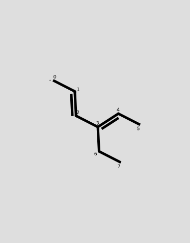 [CH2]C=CC(=CC)CC